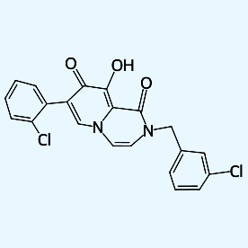 O=c1c(-c2ccccc2Cl)cn2ccn(Cc3cccc(Cl)c3)c(=O)c2c1O